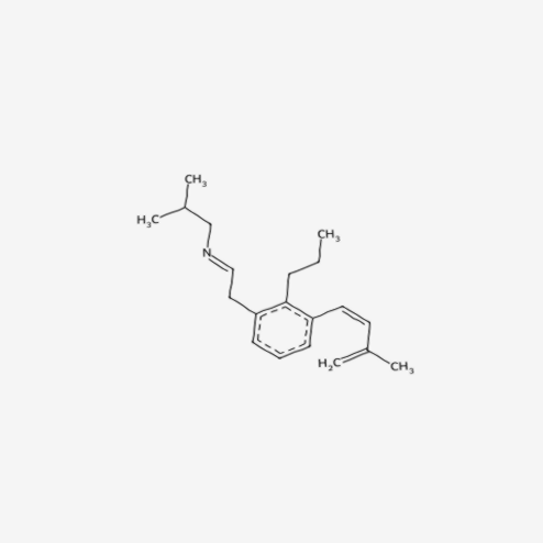 C=C(C)/C=C\c1cccc(C/C=N/CC(C)C)c1CCC